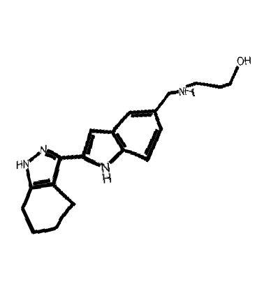 OCCNCc1ccc2[nH]c(-c3n[nH]c4c3CCCC4)cc2c1